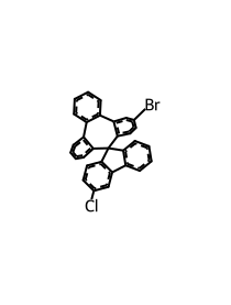 Clc1ccc2c(c1)-c1ccccc1C21c2ccccc2-c2ccccc2-c2cc(Br)ccc21